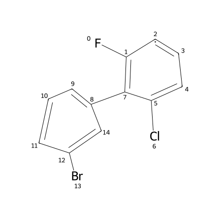 Fc1[c]ccc(Cl)c1-c1cccc(Br)c1